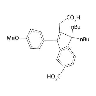 CCCCC1(CCCC)C(CC(=O)O)=C(c2ccc(OC)cc2)c2cc(C(=O)O)ccc21